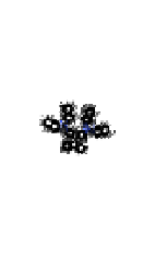 c1ccc2c(c1)-c1ccccc1C2(c1ccc(N(c2ccc3ccccc3c2)c2ccc3ccccc3c2)cc1)c1ccc(N(c2ccc3ccccc3c2)c2ccc3ccccc3c2)cc1